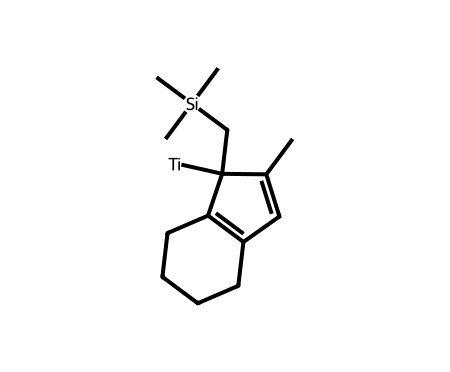 CC1=CC2=C(CCCC2)[C]1([Ti])C[Si](C)(C)C